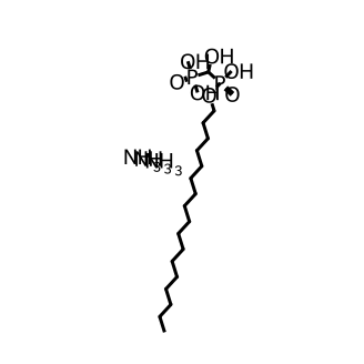 CCCCCCCCCCCCCCCCCOP(=O)(O)C(O)P(=O)(O)O.N.N.N